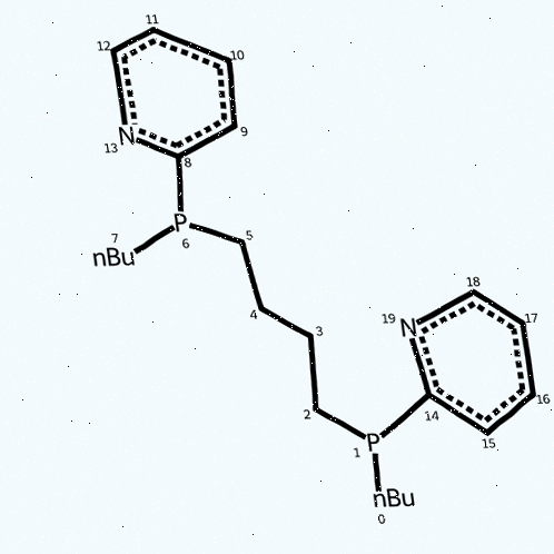 CCCCP(CCCCP(CCCC)c1ccccn1)c1ccccn1